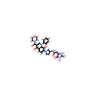 O=C(CC1NC(=O)NC1=O)NC1CCN(c2c(F)cc3c(=O)c(C(=O)N4CCOCC4)cn4c3c2Oc2ccccc2-4)C1